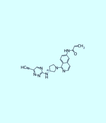 C#Cc1cnc(N[C@@H]2CCN(c3nccc4cc(NC(=O)C=C)ccc34)C2)nn1